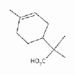 CC1=CCC(C(C)(C)C(=O)O)CC1